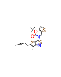 CC#CCCc1sc2c(N(Cc3cccs3)C(=O)OC(C)(C)C)snc2c1C